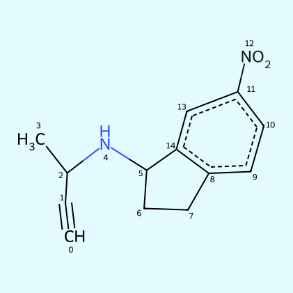 C#CC(C)NC1CCc2ccc([N+](=O)[O-])cc21